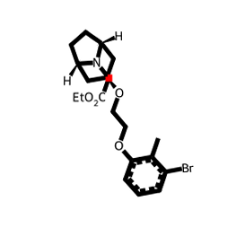 CCOC(=O)CN1[C@@H]2CC[C@H]1C[C@H](OCCOc1cccc(Br)c1C)C2